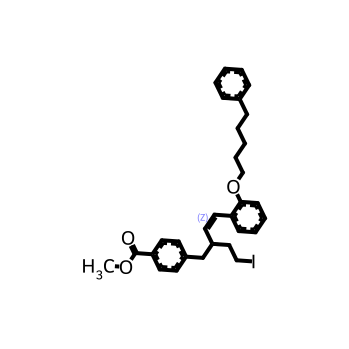 COC(=O)c1ccc(CC(/C=C\c2ccccc2OCCCCCc2ccccc2)CCI)cc1